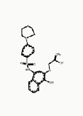 C=C(O)CSc1cc(NS(=O)(=O)c2ccc(N3CCCCC3)cc2)c2ccccc2c1O